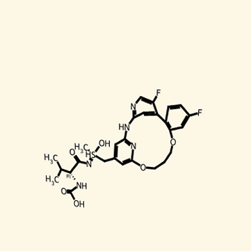 CC(C)[C@@H](NC(=O)O)C(=O)N=[SH](C)(O)Cc1cc2nc(c1)OCCCOc1cc(F)ccc1-c1cc(ncc1F)N2